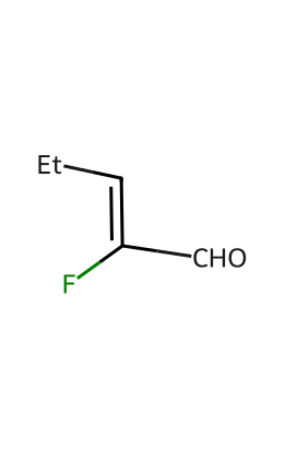 CCC=C(F)C=O